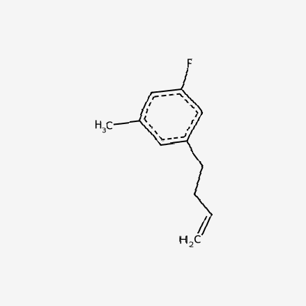 C=CCCc1cc(C)cc(F)c1